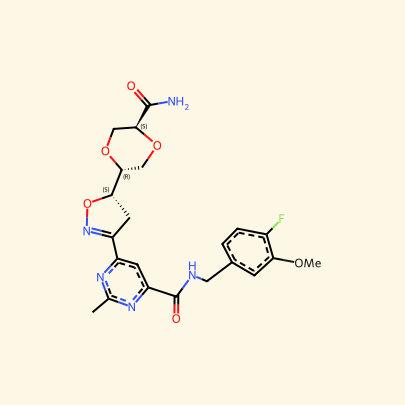 COc1cc(CNC(=O)c2cc(C3=NO[C@H]([C@H]4CO[C@H](C(N)=O)CO4)C3)nc(C)n2)ccc1F